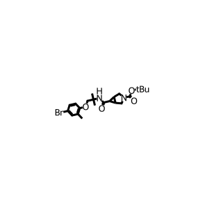 Cc1cc(Br)ccc1OCC(C)(C)NC(=O)C1C2CN(C(=O)OC(C)(C)C)CC21